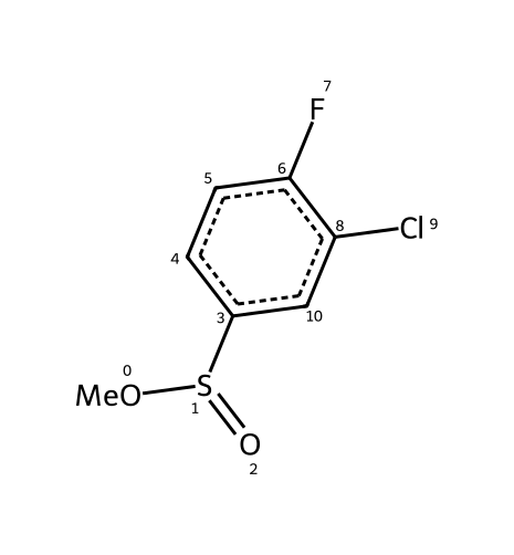 COS(=O)c1ccc(F)c(Cl)c1